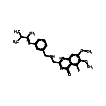 COc1cc2[nH]c(CNCc3cccc(/N=C(\C)N(C)C)c3)nc(=O)c2c(F)c1OC